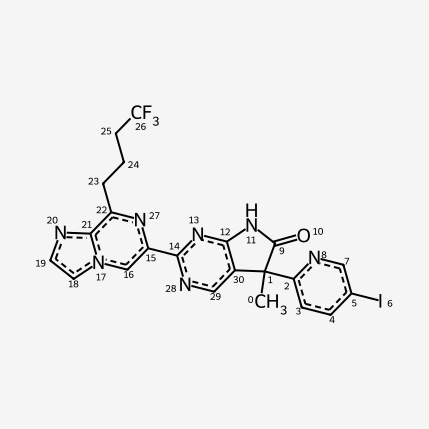 CC1(c2ccc(I)cn2)C(=O)Nc2nc(-c3cn4ccnc4c(CCCC(F)(F)F)n3)ncc21